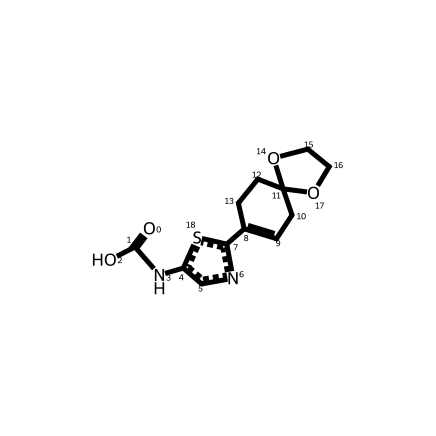 O=C(O)Nc1cnc(C2=CCC3(CC2)OCCO3)s1